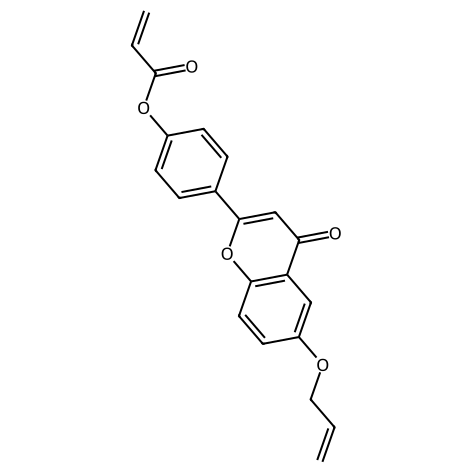 C=CCOc1ccc2oc(-c3ccc(OC(=O)C=C)cc3)cc(=O)c2c1